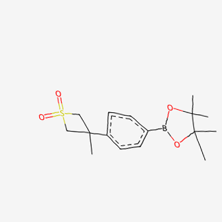 CC1(c2ccc(B3OC(C)(C)C(C)(C)O3)cc2)CS(=O)(=O)C1